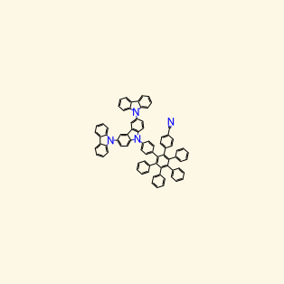 N#Cc1ccc(-c2c(-c3ccccc3)c(-c3ccccc3)c(-c3ccccc3)c(-c3ccccc3)c2-c2ccc(-n3c4ccc(-n5c6ccccc6c6ccccc65)cc4c4cc(-n5c6ccccc6c6ccccc65)ccc43)cc2)cc1